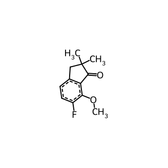 COc1c(F)ccc2c1C(=O)C(C)(C)C2